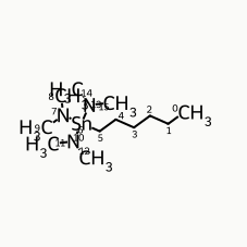 CCCCC[CH2][Sn]([N](C)C)([N](C)C)[N](C)C